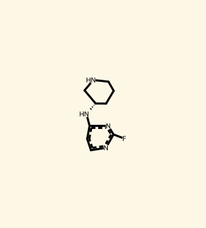 Fc1nccc(N[C@H]2CCCNC2)n1